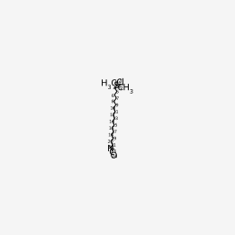 C[Si](C)(Cl)CCCCCCCCCCCCCCCCCCN=C=O